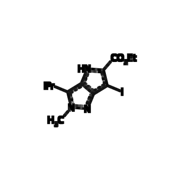 CCOC(=O)c1[nH]c2c(C(C)C)n(C)nc2c1I